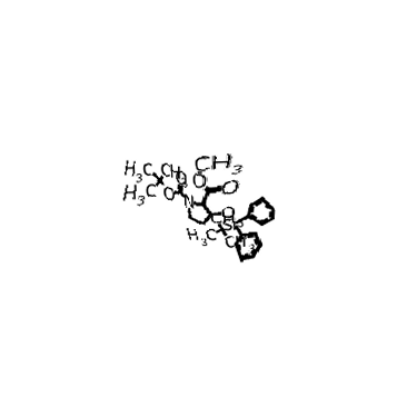 COC(=O)C1C(O[Si](c2ccccc2)(c2ccccc2)C(C)(C)C)CCN1C(=O)OC(C)(C)C